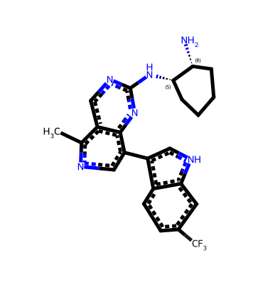 Cc1ncc(-c2c[nH]c3cc(C(F)(F)F)ccc23)c2nc(N[C@H]3CCCC[C@H]3N)ncc12